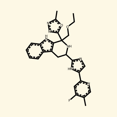 CCOCC1(c2nnc(C)o2)NC(c2ncc(-c3cc(F)c(C)cn3)[nH]2)Cc2c1[nH]c1ccccc21